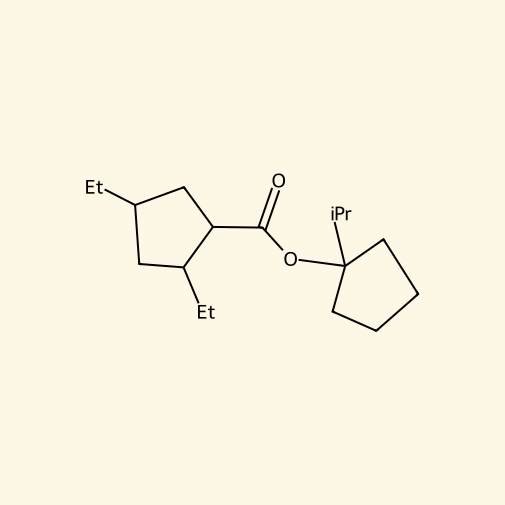 CCC1CC(CC)C(C(=O)OC2(C(C)C)CCCC2)C1